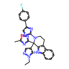 CCn1cc(C2(c3noc(C)n3)c3[nH]c4ccccc4c3CCN2c2nc(-c3ccc(F)cc3)c[nH]2)cn1